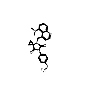 CN(C)c1cccc2nccc(CN3C(=O)N(c4ccc(SC(F)(F)F)cc4)C(=O)C34CC4)c12